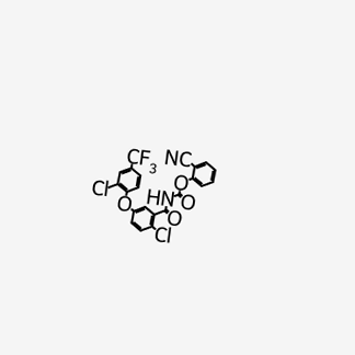 N#Cc1ccccc1OC(=O)NC(=O)c1cc(Oc2ccc(C(F)(F)F)cc2Cl)ccc1Cl